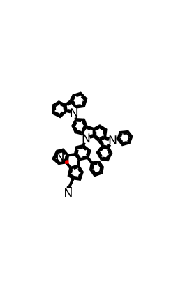 N#Cc1ccc(-c2c(-c3ccccc3)cc(-n3c4ccc(-n5c6ccccc6c6ccccc65)cc4c4ccc5c(c6ccccc6n5-c5ccccc5)c43)cc2-c2ccccc2)c(C#N)c1